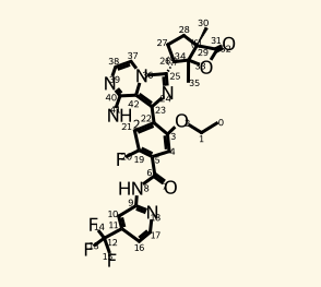 CCOc1cc(C(=O)Nc2cc(C(F)(F)F)ccn2)c(F)cc1-c1nc([C@@H]2CC[C@]3(C)C(=O)OC23C)n2ccnc(N)c12